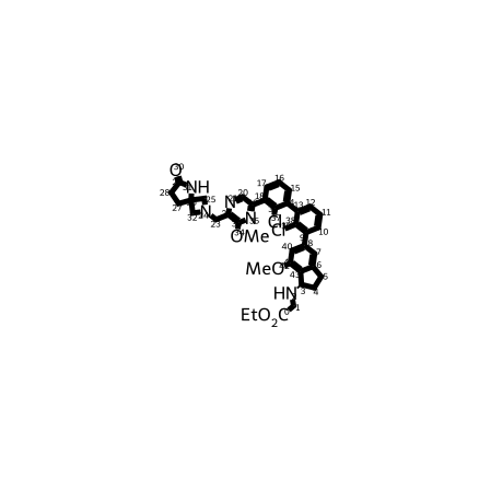 CCOC(=O)CN[C@H]1CCc2cc(-c3cccc(-c4cccc(-c5cnc(CN6CC7(CCC(=O)N7)C6)c(OC)n5)c4Cl)c3Cl)cc(OC)c21